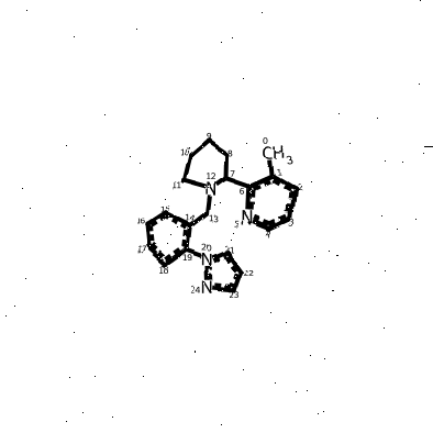 Cc1cccnc1C1CCCCN1Cc1ccccc1-n1cccn1